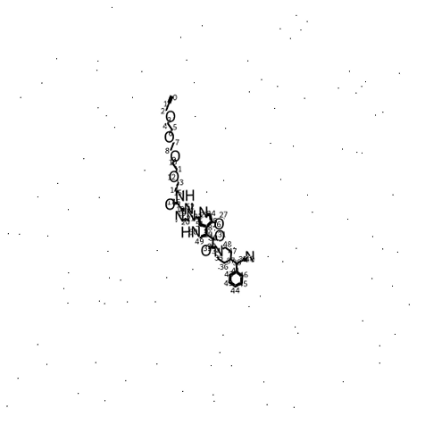 C#CCOCCOCCOCCOCCNC(=O)c1ncn(-c2ncc(OC)c3c(C(=O)C(=O)N4CCC(C(C#N)c5ccccc5)CC4)c[nH]c23)n1